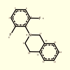 Fc1cccc(F)c1N1CCc2ccccc2C1